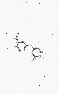 C/C(F)=C\C(=C/N)Cc1cccc(C=O)c1